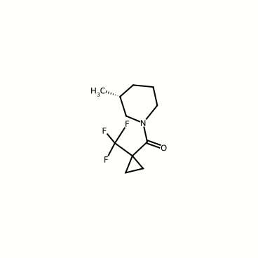 C[C@@H]1CCCN(C(=O)C2(C(F)(F)F)CC2)C1